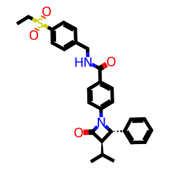 CCS(=O)(=O)c1ccc(CNC(=O)c2ccc(N3C(=O)[C@H](C(C)C)[C@H]3c3ccccc3)cc2)cc1